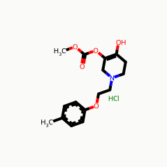 COC(=O)OC1=C(O)CCN(CCOc2ccc(C)cc2)C1.Cl